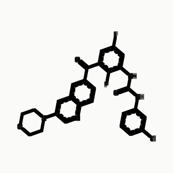 O=C(Nc1cccc(Cl)c1)Nc1cc(F)cc(C(=O)c2ccc3ncc(N4CCOCC4)cc3c2)c1F